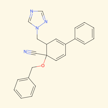 N#CC1(OCc2ccccc2)C=CC(c2ccccc2)=CC1Cn1cncn1